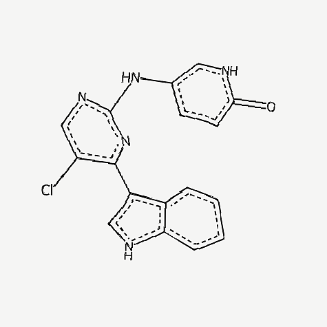 O=c1ccc(Nc2ncc(Cl)c(-c3c[nH]c4ccccc34)n2)c[nH]1